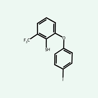 FC(F)(F)c1cccc(Oc2ccc(I)cc2)c1S